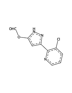 O=COc1cc(-c2ncccc2Cl)n[nH]1